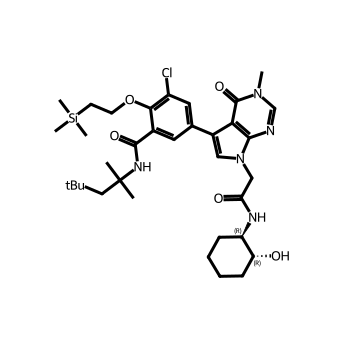 Cn1cnc2c(c(-c3cc(Cl)c(OCC[Si](C)(C)C)c(C(=O)NC(C)(C)CC(C)(C)C)c3)cn2CC(=O)N[C@@H]2CCCC[C@H]2O)c1=O